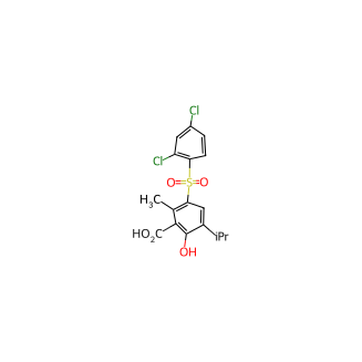 Cc1c(S(=O)(=O)c2ccc(Cl)cc2Cl)cc(C(C)C)c(O)c1C(=O)O